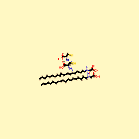 CCCCCCCCC=CCCCCCCCCCNCC(O)O.CCCCCCCCC=CCCCCCCCCCNCC(O)O.N[C@@H](CS)C(=O)O.N[C@@H](CS)C(=O)O